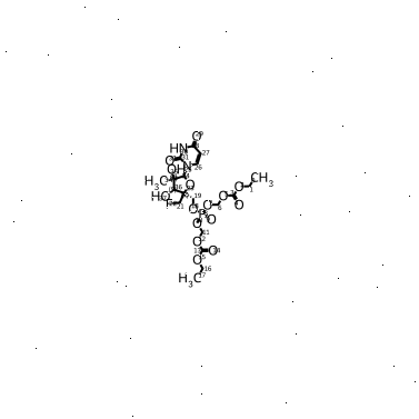 CCOC(=O)OCOP(=O)(OCOC(=O)OCC)OC[C@@]1(CF)OC(n2ccc(=O)[nH]c2=O)[C@](C)(O)[C@@H]1O